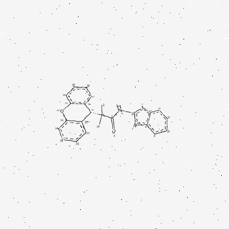 CC(C)(C(=O)Nc1nc2ccccc2s1)C1c2ccccc2Oc2ccccc21